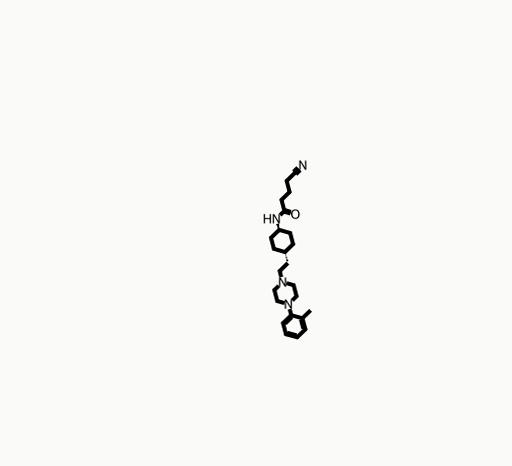 Cc1ccccc1N1CCN(CC[C@H]2CC[C@H](NC(=O)CCCC#N)CC2)CC1